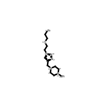 CC(C)CCOCCn1cc(CN2CCN(C(C)C)CC2)nn1